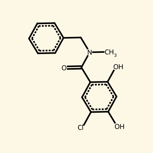 CN(Cc1ccccc1)C(=O)c1cc(Cl)c(O)cc1O